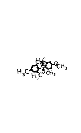 COc1cc(C)c(S(=O)(=O)c2c(C)cc(C)cc2C)c(C)c1